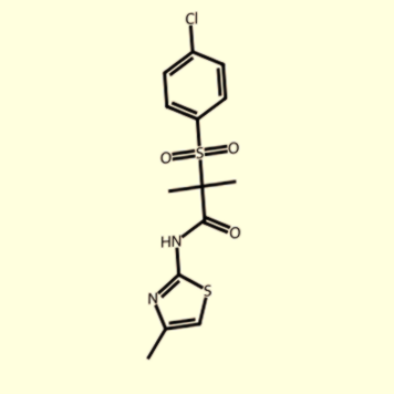 Cc1csc(NC(=O)C(C)(C)S(=O)(=O)c2ccc(Cl)cc2)n1